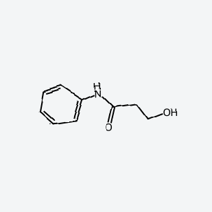 O=C(CCO)Nc1c[c]ccc1